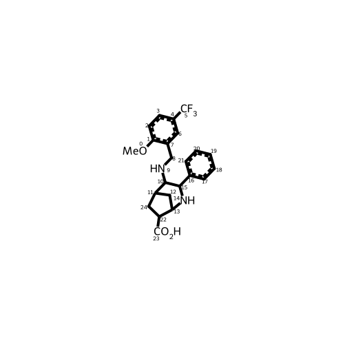 COc1ccc(C(F)(F)F)cc1CNC1C2CC(NC1c1ccccc1)C(C(=O)O)C2